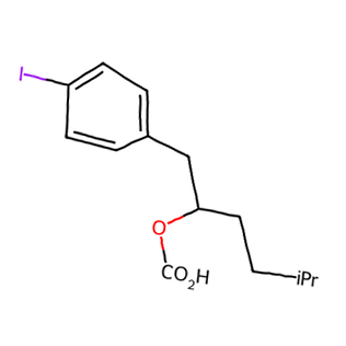 CC(C)CCC(Cc1ccc(I)cc1)OC(=O)O